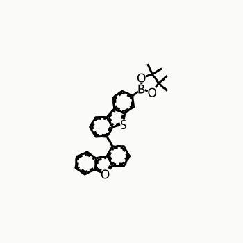 CC1(C)OB(c2ccc3c(c2)sc2c(-c4cccc5oc6ccccc6c45)cccc23)OC1(C)C